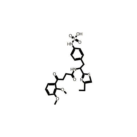 CCc1csc(C(Cc2ccc(NS(=O)(=O)O)cc2)NC(=O)CCC(=O)c2cccc(OC)c2OC)n1